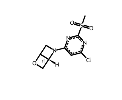 CS(=O)(=O)c1nc(Cl)cc(N2CC3OC[C@H]32)n1